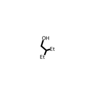 [CH2]C[C](CC)CO